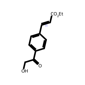 CCOC(=O)/C=C/c1ccc(C(=O)CO)cc1